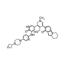 CN1C=C(n2ccn3c4c(cc3c2=O)CCCC4)C(CO)=C(c2c[nH]c(=O)c(Nc3ccc(N4CCN(C5COC5)CC4)cn3)c2)C1